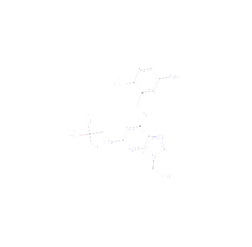 CCn1cnc2c(NCc3cc(N)ccc3O)nc(NCC(C)(C)O)nc21